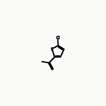 C=C(C)c1ccc(Cl)s1